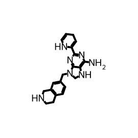 Nc1nc(C2=CCC=CN2)nc2c1NCN2Cc1ccc2c(c1)CNCC2